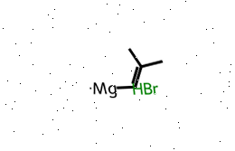 Br.CC(C)=[CH][Mg]